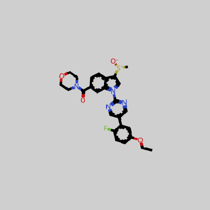 CCOc1ccc(F)c(-c2cnc(-n3cc([S+](C)[O-])c4ccc(C(=O)N5CCOCC5)cc43)nc2)c1